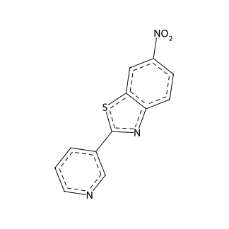 O=[N+]([O-])c1ccc2nc(-c3cccnc3)sc2c1